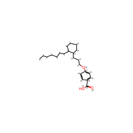 CCCCCCCC1CCCCC1CCCOc1ccc(C(=O)O)cc1